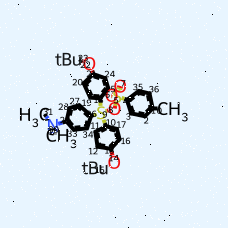 Cc1ccc(S(=O)(=O)OS(c2ccc(OC(C)(C)C)cc2)(c2ccc(OC(C)(C)C)cc2)c2ccc(N(C)C)cc2)cc1